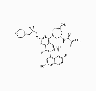 C#Cc1c(F)ccc2cc(O)cc(-c3ncc4c(N5CCN(C)CC(NC(=O)C(=C)F)C5)nc(OCC5(CN6CCOCC6)CC5)nc4c3F)c12